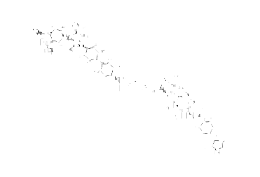 Cc1ncoc1-c1ccc([C@H](C)NC(=O)[C@@H]2CCCN2C(=O)C(NC(=O)COCCCCNc2ccc(-c3ccc(N4C(=S)N(c5ccc(C#N)c(C(F)(F)F)c5)C(=O)C4(C)C)cc3)cc2)C(C)(C)C)cc1